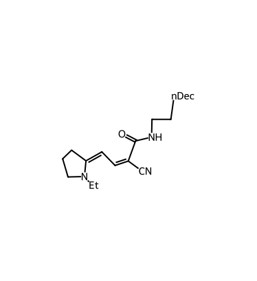 CCCCCCCCCCCCNC(=O)C(C#N)=CC=C1CCCN1CC